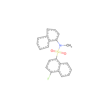 CN(c1cccc2ccccc12)S(=O)(=O)c1ccc(F)c2ccccc12